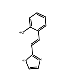 Oc1ccccc1C=Cc1ncc[nH]1